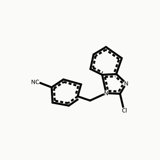 N#Cc1ccc(Cn2c(Cl)nc3ccccc32)cc1